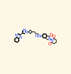 O=C1c2ccc(NCCCC3CC(n4cc(-c5cnc6ccccc6n5)cn4)C3)cc2CN1N1C(=O)CCCC1=O